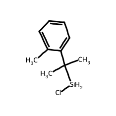 Cc1ccccc1C(C)(C)[SiH2]Cl